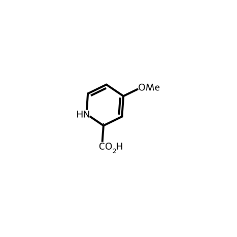 COC1=C[C](C(=O)O)NC=C1